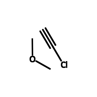 C#CCl.COC